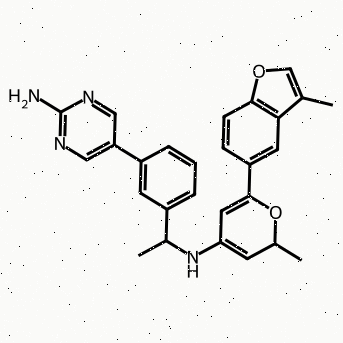 Cc1coc2ccc(C3=CC(NC(C)c4cccc(-c5cnc(N)nc5)c4)=CC(C)O3)cc12